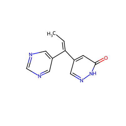 C/C=C(\c1cncnc1)c1cn[nH]c(=O)c1